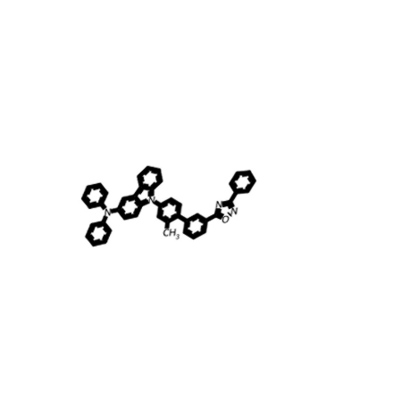 Cc1cc(-n2c3ccccc3c3cc(N(c4ccccc4)c4ccccc4)ccc32)ccc1-c1cccc(-c2nc(-c3ccccc3)no2)c1